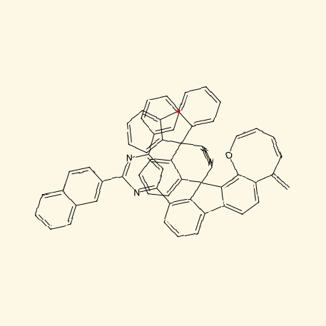 C=C1/C=C\C=C/Oc2c1ccc1c2C2(c3ccccc3C3(c4ccccc4-c4ccccc43)c3ccccc32)c2c(-c3cc(-c4ccccc4)nc(-c4ccc5ccccc5c4)n3)cccc2-1